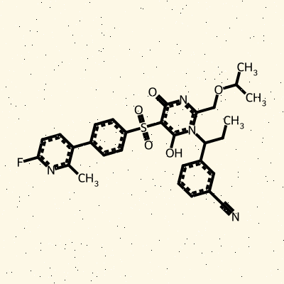 CCC(c1cccc(C#N)c1)n1c(COC(C)C)nc(=O)c(S(=O)(=O)c2ccc(-c3ccc(F)nc3C)cc2)c1O